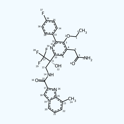 CCOc1c(CC(N)=O)cc([C@@](O)(CNC(=O)c2cn3cccc(C)c3n2)C(F)(F)F)nc1-c1ccc(F)cc1